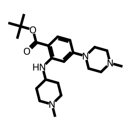 CN1CCC(Nc2cc(N3CCN(C)CC3)ccc2C(=O)OC(C)(C)C)CC1